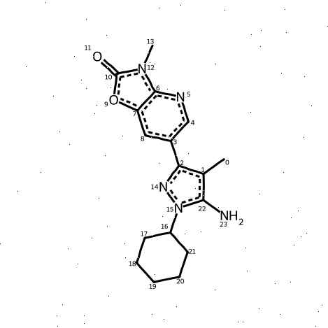 Cc1c(-c2cnc3c(c2)oc(=O)n3C)nn(C2CCCCC2)c1N